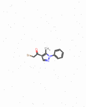 Cc1c(C(=O)CBr)cnn1-c1ccccc1